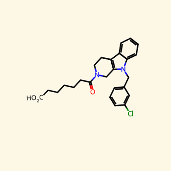 O=C(O)CCCCCC(=O)N1CCc2c(n(Cc3cccc(Cl)c3)c3ccccc23)C1